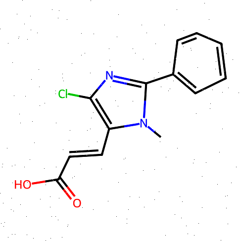 Cn1c(-c2ccccc2)nc(Cl)c1C=CC(=O)O